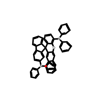 c1ccc(N(c2ccccc2)c2ccc3c(c2)C2(c4cc5ccccc5cc4Oc4c(N(c5ccccc5)c5ccccc5)cccc42)c2ccccc2-3)cc1